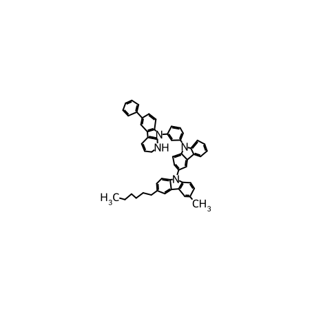 CCCCCCc1ccc2c(c1)c1cc(C)ccc1n2-c1ccc2c(c1)c1ccccc1n2-c1cccc(-n2c3c(c4cc(-c5ccccc5)ccc42)C=CCN3)c1